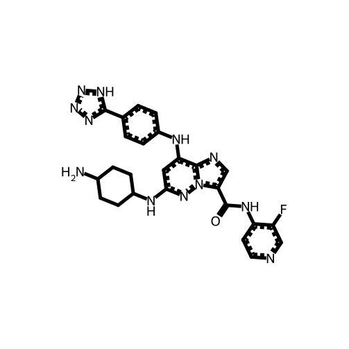 NC1CCC(Nc2cc(Nc3ccc(-c4nnn[nH]4)cc3)c3ncc(C(=O)Nc4ccncc4F)n3n2)CC1